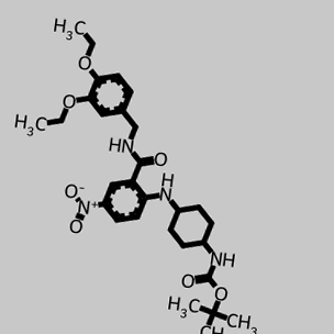 CCOc1ccc(CNC(=O)c2cc([N+](=O)[O-])ccc2NC2CCC(NC(=O)OC(C)(C)C)CC2)cc1OCC